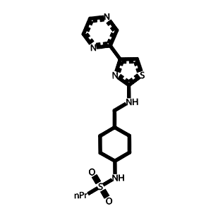 CCCS(=O)(=O)NC1CCC(CNc2nc(-c3cnccn3)cs2)CC1